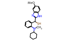 COc1ccc2[nH]c(C(S)c3ccccc3N(C)C3CCCCC3)nc2c1